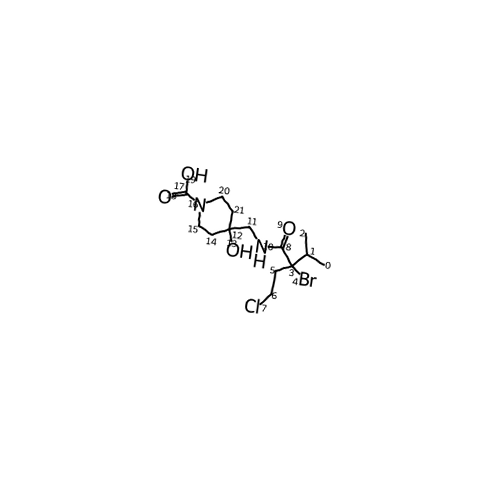 CC(C)C(Br)(CCCl)C(=O)NCC1(O)CCN(C(=O)O)CC1